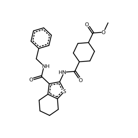 COC(=O)C1CCC(C(=O)Nc2sc3c(c2C(=O)NCc2ccccc2)CCCC3)CC1